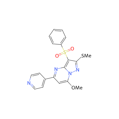 COc1cc(-c2ccncc2)nc2c(S(=O)(=O)c3ccccc3)c(SC)nn12